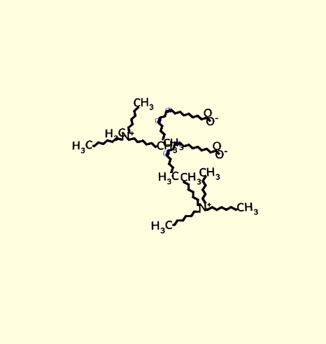 CCCCC/C=C\C/C=C\CCCCCCCC(=O)[O-].CCCCC/C=C\C/C=C\CCCCCCCC(=O)[O-].CCCCCCCC[N+](C)(CCCCCCCC)CCCCCCCC.CCCCCCCC[N+](CCCCCCCC)(CCCCCCCC)CCCCCCCC